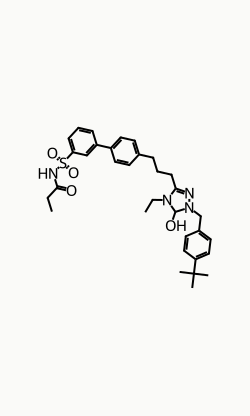 CCC(=O)NS(=O)(=O)c1cccc(-c2ccc(CCCC3=NN(Cc4ccc(C(C)(C)C)cc4)C(O)N3CC)cc2)c1